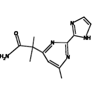 Cc1cc(C(C)(C)C(N)=O)nc(-c2ncc[nH]2)n1